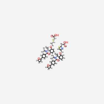 [2H]C(c1ccccc1OCCCSCC(=O)O)N(C(=O)c1ccc(-c2ccco2)cc1)C(C)C.[2H]C(c1ccccc1OCc1csc(CC(=O)O)n1)N(C(=O)c1ccc(-c2ccco2)cc1)C(C)C